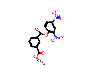 COC(=O)c1cccc(C(=O)Oc2ccc([N+](=O)[O-])cc2[N+](=O)[O-])c1